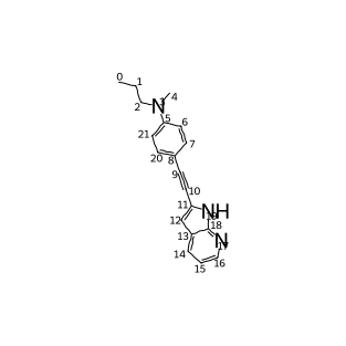 CCCN(C)c1ccc(C#Cc2cc3cccnc3[nH]2)cc1